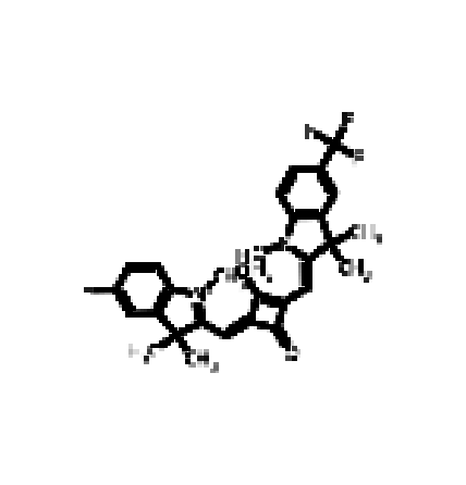 CN1/C(=C\C2=C(O)C(=C\C3=[N+](C)c4ccc(F)cc4C3(C)C)/C2=O)C(C)(C)c2cc(C(F)(F)F)ccc21